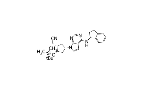 CC(C)(C)[Si](C)(C)O[C@H]1CC(n2ccc3c(N[C@H]4CCc5ccccc54)ncnc32)C[C@H]1CC#N